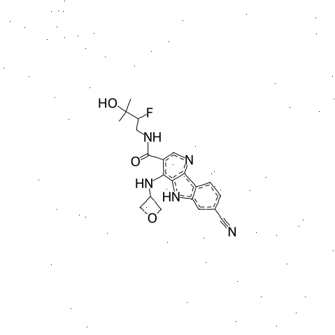 CC(C)(O)C(F)CNC(=O)c1cnc2c([nH]c3cc(C#N)ccc32)c1NC1COC1